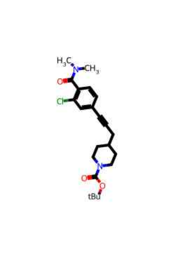 CN(C)C(=O)c1ccc(C#CCC2CCN(C(=O)OC(C)(C)C)CC2)cc1Cl